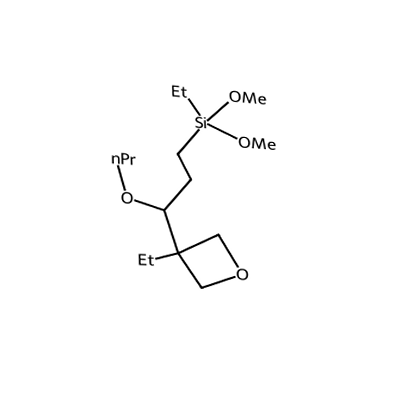 CCCOC(CC[Si](CC)(OC)OC)C1(CC)COC1